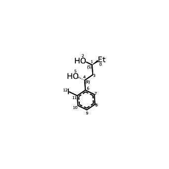 CC[C@H](O)C[C@@H](O)c1ccccc1I